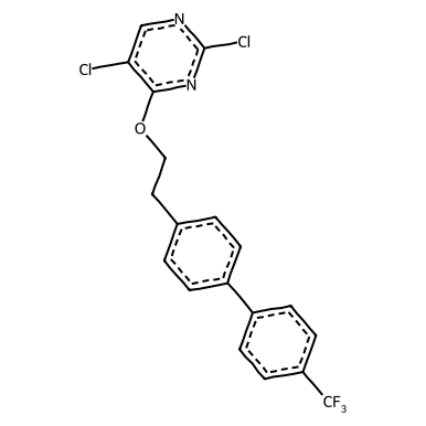 FC(F)(F)c1ccc(-c2ccc(CCOc3nc(Cl)ncc3Cl)cc2)cc1